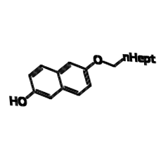 CCCCCCCCOc1ccc2cc(O)ccc2c1